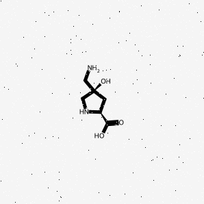 NC[C@@]1(O)CN[C@H](C(=O)O)C1